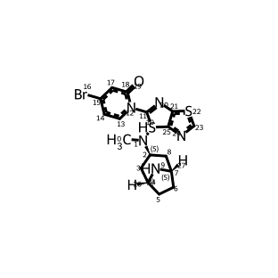 CN([C@@H]1C[C@H]2CC[C@@H](C1)N2)[SH]1C(n2ccc(Br)cc2=O)=Nc2scnc21